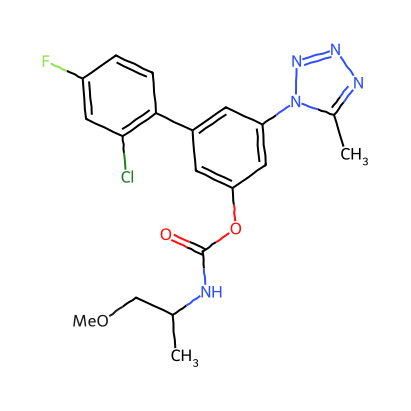 COCC(C)NC(=O)Oc1cc(-c2ccc(F)cc2Cl)cc(-n2nnnc2C)c1